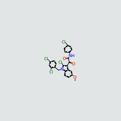 COc1ccc2c(c1)c(C(=O)C(=O)Nc1ccc(Cl)cc1)c(Cl)n2Cc1ccc(Cl)cc1Cl